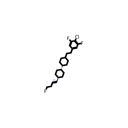 FCC/C=C/[C@H]1CC[C@H](C2CCC(CCc3cc(F)c(Cl)c(F)c3)CC2)CC1